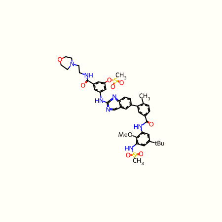 COc1c(NC(=O)c2ccc(C)c(-c3ccc4nc(Nc5cc(OS(C)(=O)=O)cc(C(=O)NCCN6CCOCC6)c5)ncc4c3)c2)cc(C(C)(C)C)cc1NS(C)(=O)=O